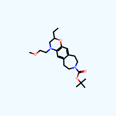 CCC1CN(CCOC)c2cc3c(cc2O1)CCN(C(=O)OC(C)(C)C)CC3